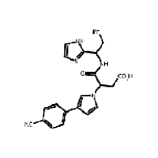 CC(C)CC(NC(=O)C(CC(=O)O)n1ccc(-c2ccc(C#N)cc2)c1)c1ncc[nH]1